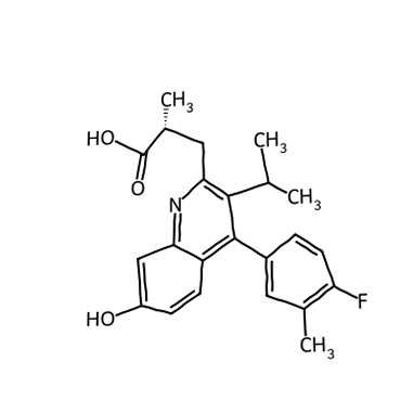 Cc1cc(-c2c(C(C)C)c(C[C@@H](C)C(=O)O)nc3cc(O)ccc23)ccc1F